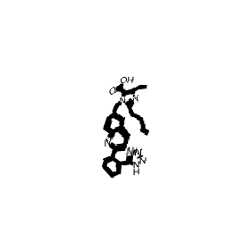 CCCCc1nc(CC)c(C(=O)O)n1Cc1ccc2nc(-c3ccccc3-c3nnn[nH]3)ccc2c1